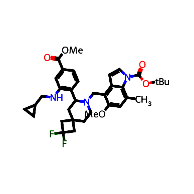 COC(=O)c1ccc(C2CC3(CCN2Cc2c(OC)cc(C)c4c2ccn4C(=O)OC(C)(C)C)CC(F)(F)C3)c(NCC2CC2)c1